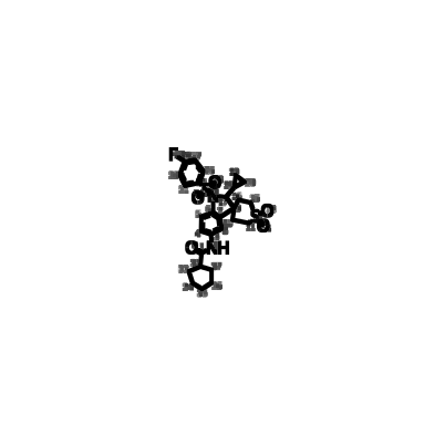 O=C(Nc1ccc2c(c1)C1(CCS(=O)(=O)CC1)C(C1CC1)N2S(=O)(=O)c1ccc(F)cc1)C1CCCCC1